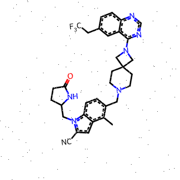 Cc1c(CN2CCC3(CC2)CN(c2ncnc4ccc(CC(F)(F)F)cc24)C3)ccc2c1cc(C#N)n2CC1CCC(=O)N1